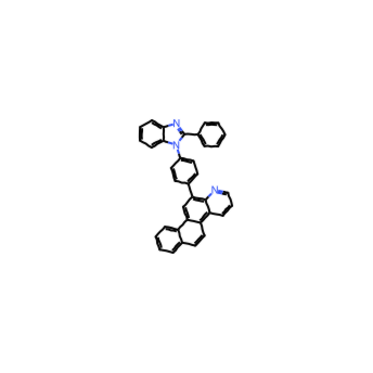 c1ccc(-c2nc3ccccc3n2-c2ccc(-c3cc4c5ccccc5ccc4c4cccnc34)cc2)cc1